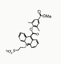 COC(=O)c1cc(C)c(OC(=O)c2c3ccccc3[n+](CCCS(=O)(=O)O)c3ccccc23)c(C)c1